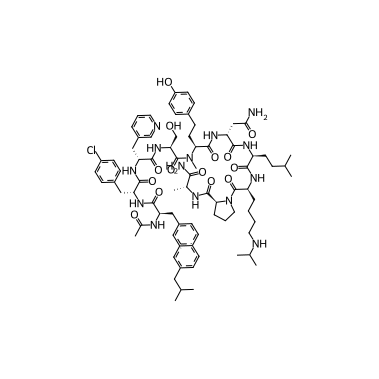 CC(=O)N[C@H](Cc1ccc2ccc(CC(C)C)cc2c1)C(=O)N[C@H](Cc1ccc(Cl)cc1)C(=O)N[C@H](Cc1cccnc1)C(=O)N[C@@H](CO)C(=O)N(C)[C@@H](CCc1ccc(O)cc1)C(=O)N[C@H](CC(N)=O)C(=O)N[C@@H](CCC(C)C)C(=O)N[C@@H](CCCCNC(C)C)C(=O)N1CCC[C@H]1C(=O)N[C@H](C)C(N)=O